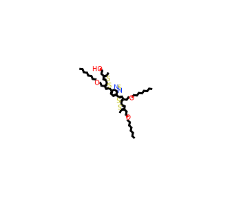 CCCCCCCCOCCc1cc(-c2sc(-c3ccc(-c4cc(CCOCCCCCCCC)c(-c5cc(CCO)c(C)s5)s4)c4nsnc34)cc2CCOCCCCCCCC)sc1C